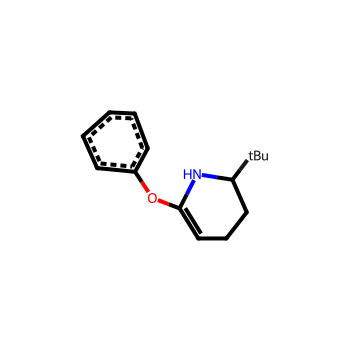 CC(C)(C)C1CCC=C(Oc2ccccc2)N1